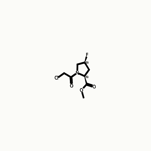 COC(=O)[C@@H]1C[C@H](F)CN1C(=O)CCl